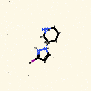 Ic1ccn([C@H]2CCCNC2)n1